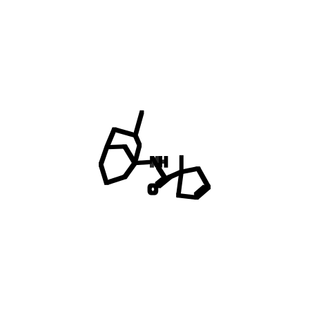 CC1CC2CCCC(NC(=O)C3(C)CC=CC3)(C1)C2